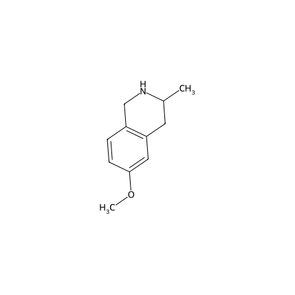 COc1ccc2c(c1)CC(C)NC2